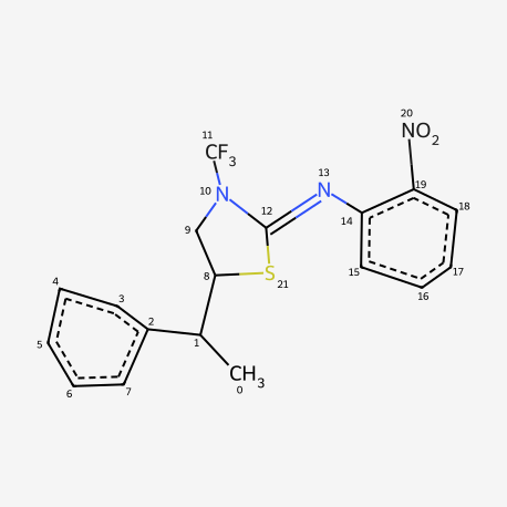 CC(c1ccccc1)C1CN(C(F)(F)F)C(=Nc2ccccc2[N+](=O)[O-])S1